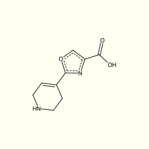 O=C(O)c1coc(C2=CCNCC2)n1